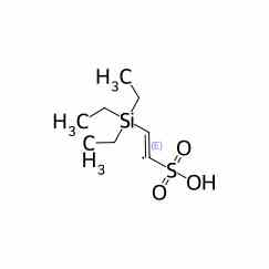 CC[Si](/C=[C]/S(=O)(=O)O)(CC)CC